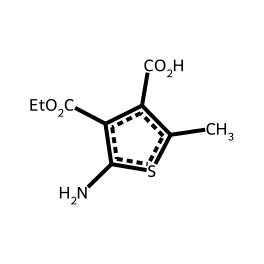 CCOC(=O)c1c(N)sc(C)c1C(=O)O